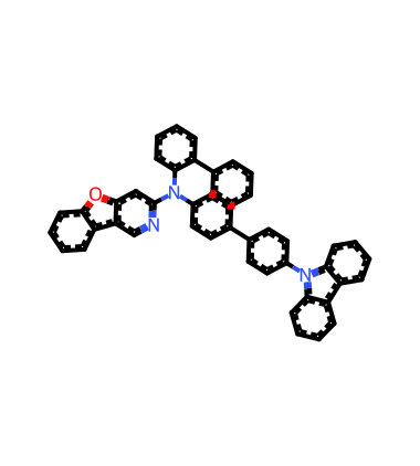 c1ccc(-c2ccccc2N(c2ccc(-c3ccc(-n4c5ccccc5c5ccccc54)cc3)cc2)c2cc3oc4ccccc4c3cn2)cc1